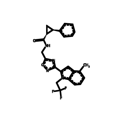 Cc1cccc2c1cc(-c1noc(CNC(=O)[C@@H]3C[C@H]3c3ccccc3)n1)n2CC(F)(F)F